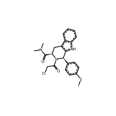 CN(C)C(=O)[C@H]1Cc2c([nH]c3ccccc23)[C@@H](c2ccc(SI)cc2)N1C(=O)CCl